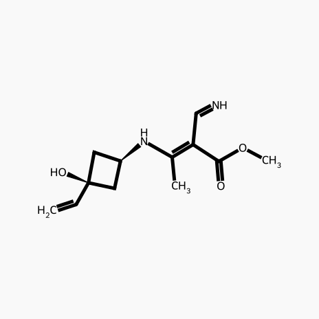 C=C[C@]1(O)C[C@@H](N/C(C)=C(\C=N)C(=O)OC)C1